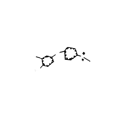 CCCc1cc(Oc2ccc(S(C)(=O)=O)cc2)ccc1O